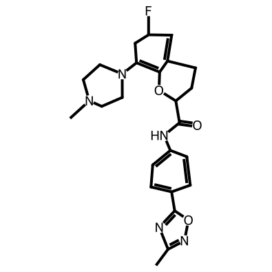 Cc1noc(-c2ccc(NC(=O)C3CCC4=CC(F)CC(N5CCN(C)CC5)=C4O3)cc2)n1